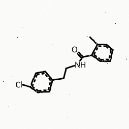 [CH2]c1ccccc1C(=O)NCCc1ccc(Cl)cc1